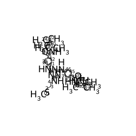 CSCCCNc1nc(NC2=CC=C(C(=O)NC(C)(C)CC(C)(C)C)CC2)nc(Nc2ccc(C(=O)NC(C)(C)CC(C)(C)C)cc2)n1